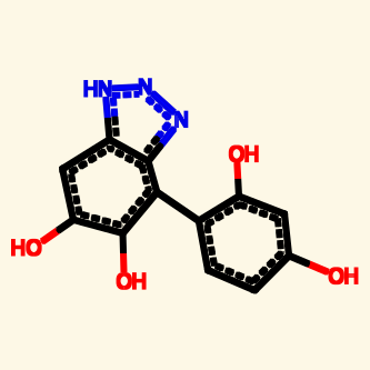 Oc1ccc(-c2c(O)c(O)cc3[nH]nnc23)c(O)c1